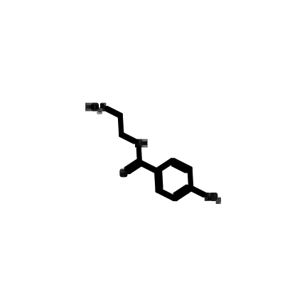 O=C(NCCS(=O)(=O)O)c1ccc([N+](=O)[O-])cc1